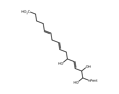 CCCCCC(O)C(O)/C=C/C(O)C/C=C/C/C=C/CCCC(=O)O